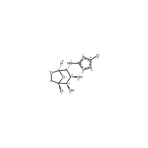 CC[C@@]12CO[C@H](O1)[C@H](Nc1nc(Cl)ns1)[C@@H](O)[C@H]2O